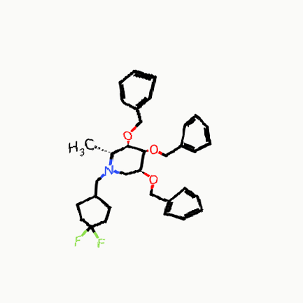 C[C@@H]1[C@@H](OCc2ccccc2)[C@H](OCc2ccccc2)[C@@H](OCc2ccccc2)CN1CC1CCC(F)(F)CC1